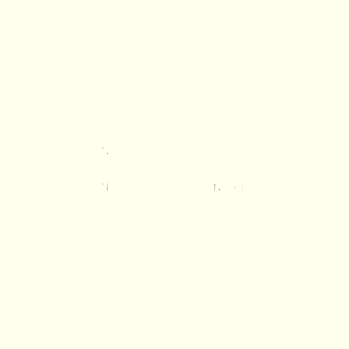 CN1CC(C=Cc2cncnc2)C1